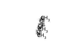 CN1CCC(C[N+]2(C)CCC(C3CCN(C)CC3)C(F)C2)CC1